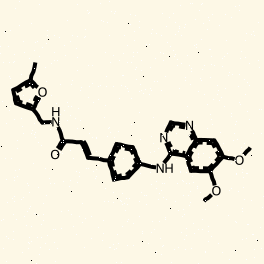 COc1cc2ncnc(Nc3ccc(C=CC(=O)NCc4ccc(C)o4)cc3)c2cc1OC